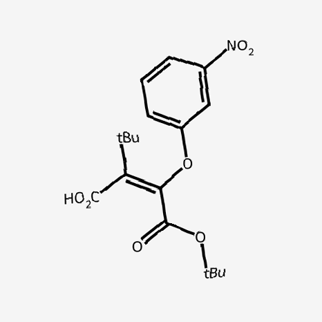 CC(C)(C)OC(=O)C(Oc1cccc([N+](=O)[O-])c1)=C(C(=O)O)C(C)(C)C